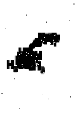 Cc1ccc(C(C)C)c(NC(S)NC(O)NCCC#Cc2ccc(-c3ncn(-c4ccc(OC(F)(F)F)cc4)n3)cc2)c1